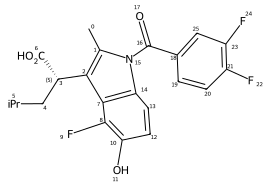 Cc1c([C@H](CC(C)C)C(=O)O)c2c(F)c(O)ccc2n1C(=O)c1ccc(F)c(F)c1